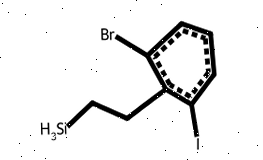 [SiH3]CCc1c(Br)cccc1I